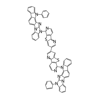 c1ccc(-n2c3ccccc3c3ccc4c(nc5n(-c6nccc7c6sc6cc(-c8cnc9c(c8)sc8c(-n%10c%11ccccc%11c%11ccc%12c(nc%13n(-c%14ccccc%14)c%14ccccc%14n%12%13)c%11%10)nccc89)cnc67)c6ccccc6n45)c32)cc1